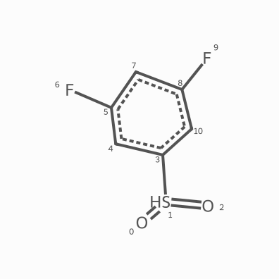 O=[SH](=O)c1cc(F)cc(F)c1